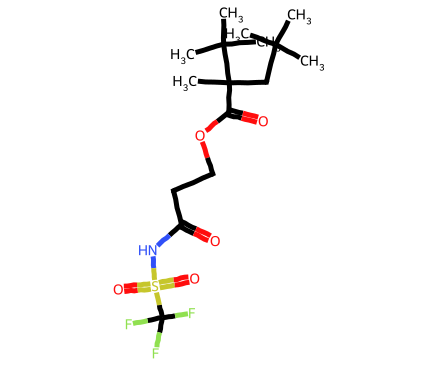 CC(C)(C)CC(C)(C(=O)OCCC(=O)NS(=O)(=O)C(F)(F)F)C(C)(C)C